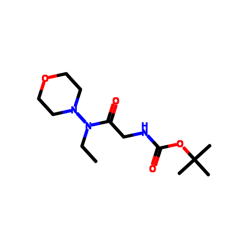 CCN(C(=O)CNC(=O)OC(C)(C)C)N1CCOCC1